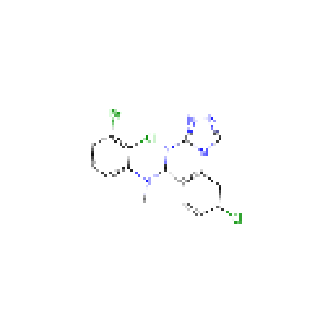 CN(c1cccc(Br)c1Cl)c1nc2nncn2c2cc(Cl)ccc12